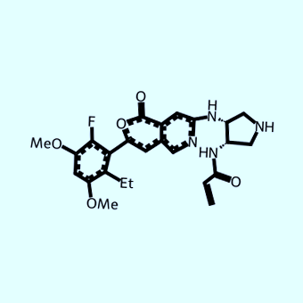 C=CC(=O)N[C@H]1CNC[C@H]1Nc1cc2c(=O)oc(-c3c(F)c(OC)cc(OC)c3CC)cc2cn1